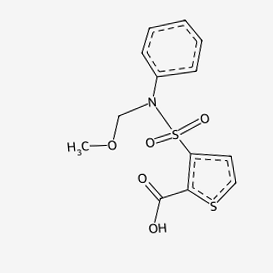 COCN(c1ccccc1)S(=O)(=O)c1ccsc1C(=O)O